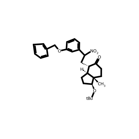 CC(C)(C)O[C@H]1CC[C@H]2[C@H](CC(c3cccc(OCc4ccccc4)c3)[N+](=O)[O-])C(=O)CC[C@]12C